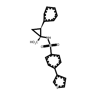 O=C(O)[C@@]1(NS(=O)(=O)c2ccc(-c3ccsc3)cc2)C[C@H]1c1ccccc1